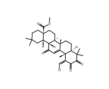 COC(=O)[C@]12CCC(C)(C)C[C@H]1[C@H]1C(=O)C=C3[C@@]4(C)/C(=C/Cl)C(=O)C(=O)C(C)(C)[C@@H]4CC[C@@]3(C)[C@]1(C)CC2